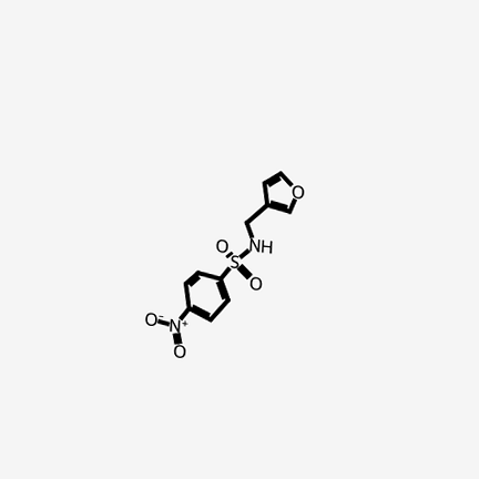 O=[N+]([O-])c1ccc(S(=O)(=O)NCc2ccoc2)cc1